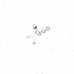 C[Si](C)(C)CCOCN(COCC[Si](C)(C)C)c1cc(C2CC3CCC(C2)N3C(=O)O)nc2c(-c3ccc(-c4ccccc4)nc3)cnn12